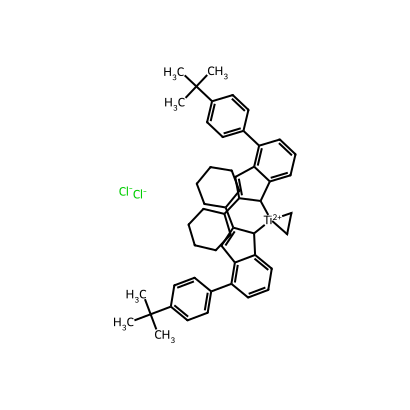 CC(C)(C)c1ccc(-c2cccc3c2C=C(C2CCCCC2)[CH]3[Ti+2]2([CH]3C(C4CCCCC4)=Cc4c(-c5ccc(C(C)(C)C)cc5)cccc43)[CH2][CH2]2)cc1.[Cl-].[Cl-]